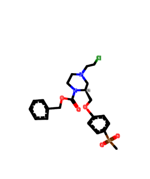 CS(=O)(=O)c1ccc(OC[C@@H]2CN(CCCl)CCN2C(=O)OCc2ccccc2)cc1